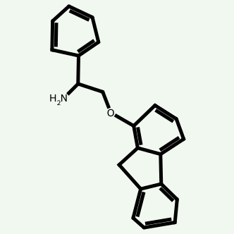 NC(COc1cccc2c1Cc1ccccc1-2)c1ccccc1